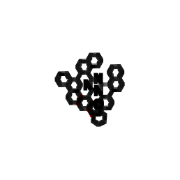 c1ccc2cc(-c3ccc4ccccc4c3-c3nc(-c4c(-c5cc6ccccc6c6ccccc56)ccc5ccccc45)nc(-c4cccc5c4oc4ccccc45)n3)ccc2c1